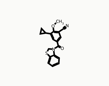 COc1c(C#N)cc(C(=O)N2CSc3ccccc32)cc1C1CC1